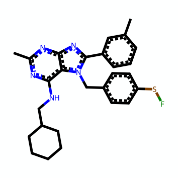 Cc1cccc(-c2nc3nc(C)nc(NCC4CCCCC4)c3n2Cc2ccc(SF)cc2)c1